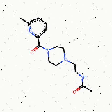 CC(=O)NCCN1CCN(C(=O)c2cccc(C)n2)CC1